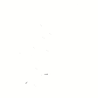 COc1ccc(-c2nc3c4cccc(Br)c4nc(N[C@H](C)C(=O)N4C[C@@H]5C[C@H]4CN5C)n3n2)cc1